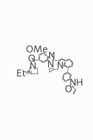 C=CC(=O)Nc1cccc(-c2cccc3cc(-c4nc5cc(C(=O)N6CCC[C@@H](CC)C6)cc(OC)c5n4C)n(CC4CC4)c23)c1